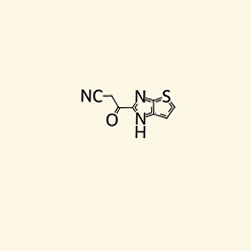 N#CCC(=O)c1nc2sccc2[nH]1